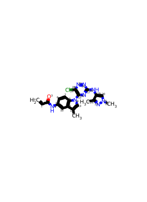 C=CC(=O)Nc1ccc2c(c1)c(C)cn2-c1nc(Nc2cn(C)nc2C)nnc1Cl